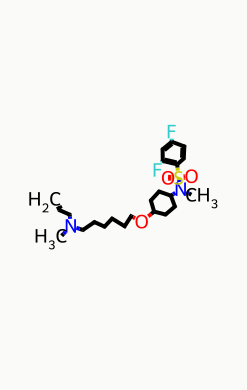 C=CCN(C)CCCCCCOC1CCC(N(C)S(=O)(=O)c2ccc(F)cc2F)CC1